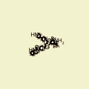 Nc1c(Br)cc(C[C@@H](CC(=O)N2CCC(N3CCc4ccccc4NC3=O)CC2)C(=O)N2CCC(C3CCNCC3)CC2)cc1C(F)(F)F